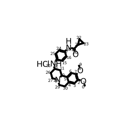 COc1cc2c(cc1OC)C1CC(Nc3ccc(NC(=O)C4CC4)cc3)CCN1CC2.Cl